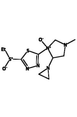 CC[S+]([O-])c1nnc([N+]2([O-])CN(C)CC2N2CC2)s1